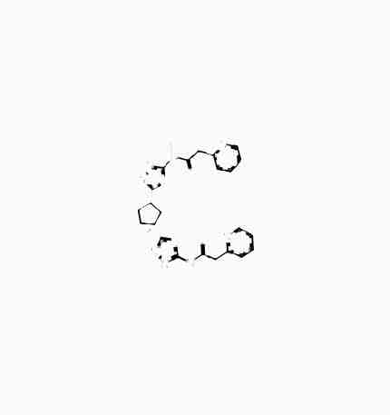 O=C(Cc1ccccn1)Nc1nnc([C@@H]2CC[C@H](c3nnc(NC(=O)Cc4ccccn4)s3)C2)s1